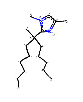 CCCCCCC(C)(CCCCC)c1nc(C)cn1C